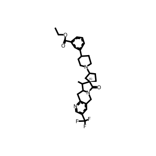 CCOC(=O)c1cccc(C2CCN(C3CC[C@@]4(C3)C(=O)N3Cc5cc(C(F)(F)F)cnc5CC3C4C)CC2)c1